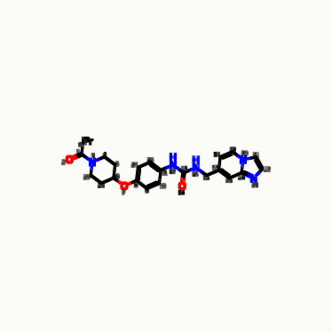 CC(C)C(=O)N1CCC(Oc2ccc(NC(=O)NCc3ccn4ccnc4c3)cc2)CC1